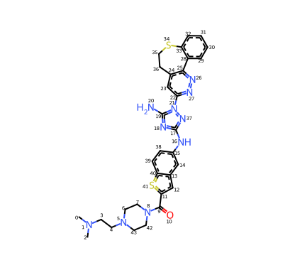 CN(C)CCN1CCN(C(=O)c2cc3cc(Nc4nc(N)n(-c5cc6c(nn5)-c5ccccc5SCC6)n4)ccc3s2)CC1